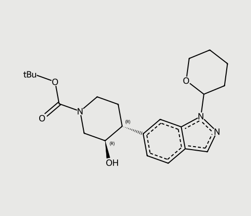 CC(C)(C)OC(=O)N1CC[C@H](c2ccc3cnn(C4CCCCO4)c3c2)[C@@H](O)C1